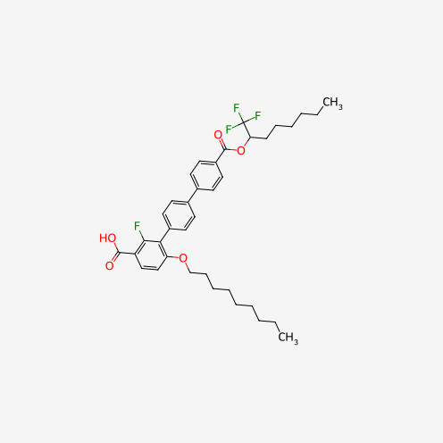 CCCCCCCCCOc1ccc(C(=O)O)c(F)c1-c1ccc(-c2ccc(C(=O)OC(CCCCCC)C(F)(F)F)cc2)cc1